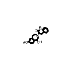 CNC(=O)C(Cc1ccccc1)N1CCc2cc(O)ccc2C(O)C1